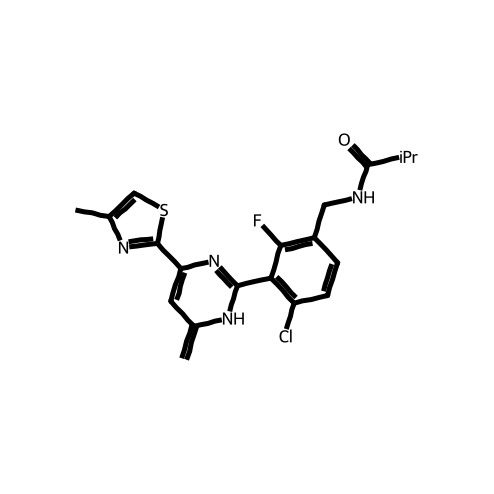 C=C1C=C(c2nc(C)cs2)N=C(c2c(Cl)ccc(CNC(=O)C(C)C)c2F)N1